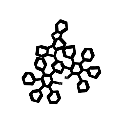 N#Cc1c(-c2ccccc2)c(-c2ccccc2)c(-c2ccccc2)c(-c2ccccc2)c1-c1cc(-c2c(C#N)c(-c3ccccc3)c(-c3ccccc3)c(-c3ccccc3)c2-c2ccccc2)nc(-n2c3ccccc3c3c4sc5ccccc5c4ccc32)c1